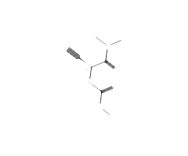 C#C[C@H](NC(=O)OC(C)(C)C)C(=O)N(C)C